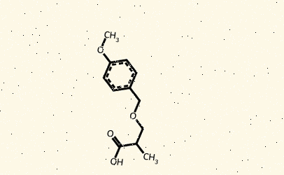 COc1ccc(COCC(C)C(=O)O)cc1